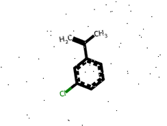 C=C(C)c1cccc(Cl)c1